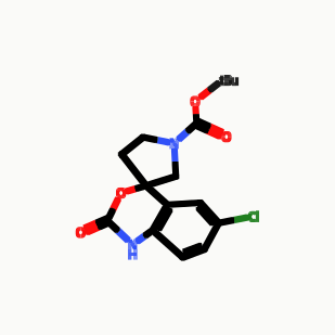 CC(C)(C)OC(=O)N1CCC2(C1)OC(=O)Nc1ccc(Cl)cc12